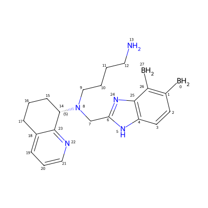 Bc1ccc2[nH]c(CN(CCCCN)[C@H]3CCCc4cccnc43)nc2c1B